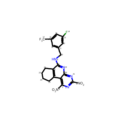 O=[N+]([O-])c1nc([N+](=O)[O-])c2c3c(c(NCc4cc(F)cc(C(F)(F)F)c4)nc2n1)CCCC3